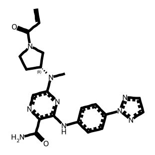 C=CC(=O)N1CC[C@@H](N(C)c2cnc(C(N)=O)c(Nc3ccc(-n4nccn4)cc3)n2)C1